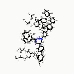 CCCCCCCCC1(CCCCCCCC)c2cc(C)ccc2-c2ccc(-c3cc(-c4ccc5c(c4)C(CCCCCCCC)(CCCCCCCC)c4cc(-c6cccc(-c7ccccc7-c7cccc(C)c7)c6)ccc4-5)nc(-c4cc5c6c(cccc6c4)C=C5)n3)cc21